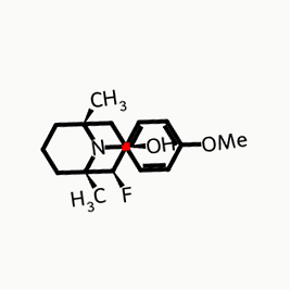 COc1ccc(N2[C@]3(C)CCC[C@@]2(C)[C@H](F)[C@H](O)C3)cc1